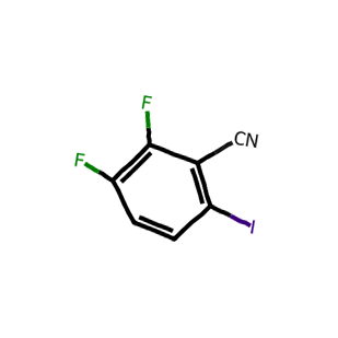 N#Cc1c(I)ccc(F)c1F